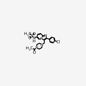 CC(=O)N1CCN(Cc2c(-c3ccc(Cl)cc3)nc3ccc(NS(C)(=O)=O)cn23)CC1